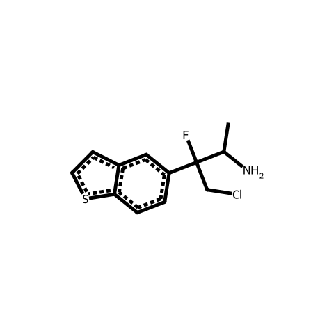 CC(N)C(F)(CCl)c1ccc2sccc2c1